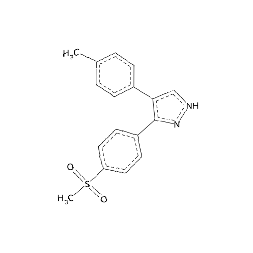 Cc1ccc(-c2c[nH]nc2-c2ccc(S(C)(=O)=O)cc2)cc1